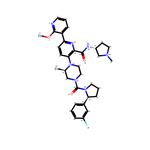 CCOc1ncccc1-c1ccc(N2CCN(C(=O)N3CCC[C@H]3c3cccc(F)c3)C[C@H]2CC)c(C(=O)N[C@@H]2CCN(C)C2)n1